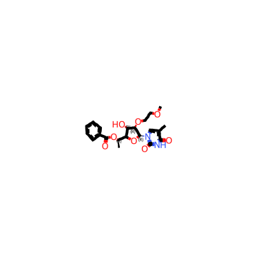 COCCO[C@@H]1[C@H](O)C([C@@H](C)OC(=O)c2ccccc2)O[C@H]1n1cc(C)c(=O)[nH]c1=O